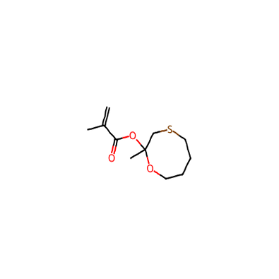 C=C(C)C(=O)OC1(C)CSCCCCO1